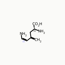 C=C(/C=C\N)C[C@H](N)C(=O)O